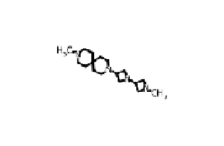 CN1CCC2(CC1)CCN(C1CN(C3CN(C)C3)C1)CC2